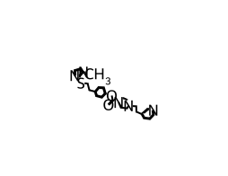 Cn1ccnc1SCCc1ccc(OC(=O)N2CCN(CCc3cccnc3)CC2)cc1